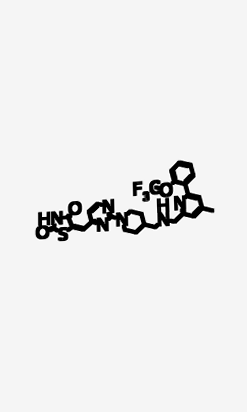 Cc1cc(CNCC2CCN(c3nccc(/C=C4/SC(=O)NC4=O)n3)CC2)nc(-c2ccccc2OC(F)(F)F)c1